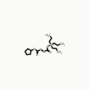 CCC[Si](CCC)(CCC)OC(=O)/N=N/C(=O)OC1CCCC1